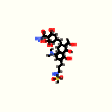 C/C(O)=C1/C(=O)c2c(O)c(CCCNS(C)(=O)=O)cc(N(C)C)c2CC1CC1CC(O)=C(C(N)=O)C(O)(O)C1